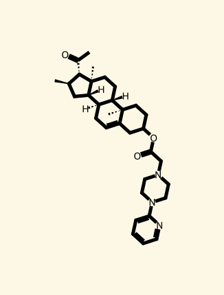 CC(=O)[C@H]1[C@H](C)C[C@H]2[C@@H]3CC=C4CC(OC(=O)CN5CCN(c6ccccn6)CC5)CC[C@]4(C)[C@H]3CC[C@@]21C